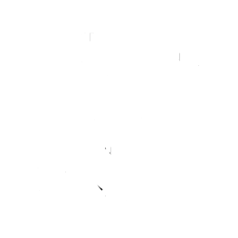 Bc1cc2c(c(OC(F)(F)F)c1)C(=O)N([C@@H](C)C1CC1)C2